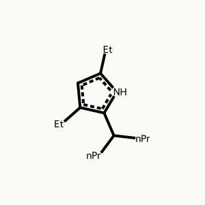 CCCC(CCC)c1[nH]c(CC)cc1CC